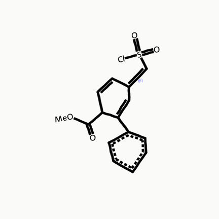 COC(=O)C1C=C/C(=C\S(=O)(=O)Cl)C=C1c1ccccc1